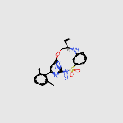 CC[C@@H]1COc2cc(-c3c(C)cccc3C)nc(n2)NS(=O)(=O)c2cccc(c2)N1